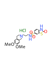 COc1cc2c(cc1OC)CN(CCCNS(=O)(=O)c1ccc3[nH]c(=O)sc3c1)CC2.Cl